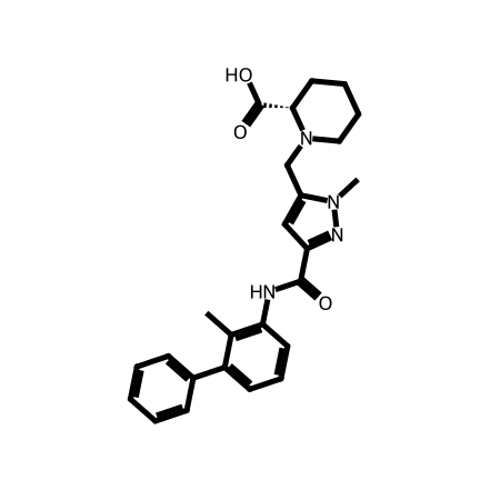 Cc1c(NC(=O)c2cc(CN3CCCC[C@H]3C(=O)O)n(C)n2)cccc1-c1ccccc1